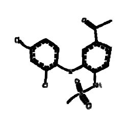 CC(=O)c1ccc(NS(C)(=O)=O)c(Sc2ccc(Cl)cc2Cl)c1